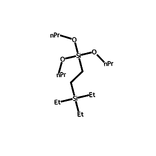 CCCO[Si](CC[Si](CC)(CC)CC)(OCCC)OCCC